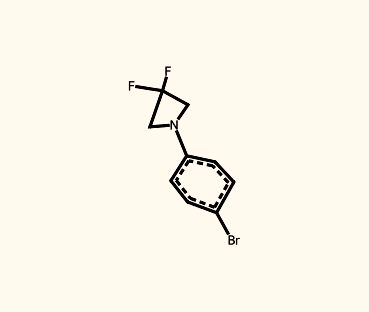 FC1(F)CN(c2ccc(Br)cc2)C1